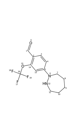 O=Cc1ccc(N2CCCCCN2)cc1OC(F)(F)F